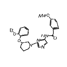 CCOc1ccccc1OC1CCCN(c2cncc(NC(=O)c3cccc(OC)c3)n2)C1